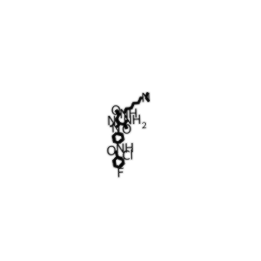 CN(C)CCCCCNC(=O)c1ncn(-c2ccc(NC(=O)c3ccc(F)cc3Cl)cc2)c1C(N)=O